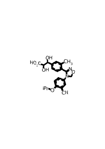 Cc1cc(C(O)C(O)C(=O)O)ccc1C1=NOCN1c1ccc(OC(C)C)c(C#N)c1